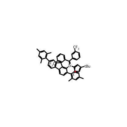 CCC1C=C(C(C)(C)C)C=[C]1[Zr](=[C](c1cccc(C(F)(F)F)c1)c1cccc(C(F)(F)F)c1)[c]1c(-c2c(C)cc(C)cc2C)ccc2c1Cc1cc(-c3c(C)cc(C)cc3C)ccc1-2